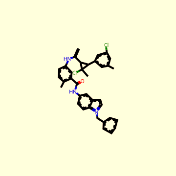 C=C(Nc1ccc(C)c(C(=O)Nc2ccc3c(ccn3Cc3ccccc3)c2)c1)C1C(c2cc(C)cc(Cl)c2)C1(C)Cl